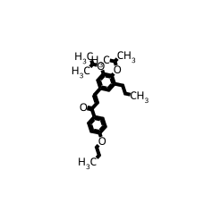 CCCOc1ccc(C(=O)/C=C/c2cc(CCC)c(OC(C)C)c(OC(C)C)c2)cc1